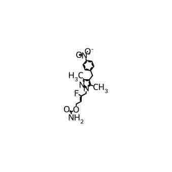 Cc1nn(C/C(F)=C/COC(N)=O)c(C)c1Cc1ccc([N+](=O)[O-])cc1